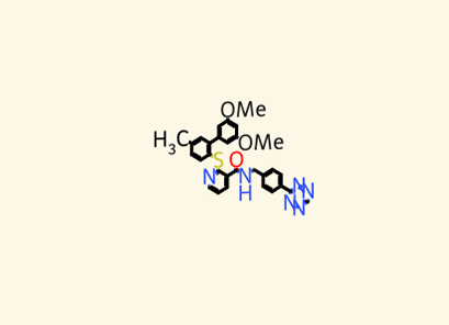 COc1cc(OC)cc(-c2cc(C)ccc2Sc2ncccc2C(=O)NCc2ccc(-c3nncnn3)cc2)c1